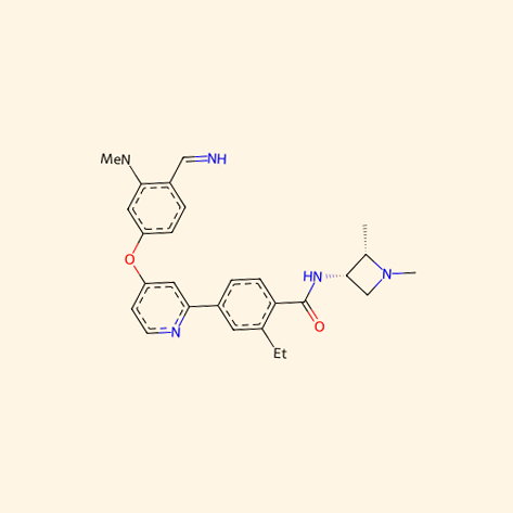 CCc1cc(-c2cc(Oc3ccc(C=N)c(NC)c3)ccn2)ccc1C(=O)N[C@H]1CN(C)[C@H]1C